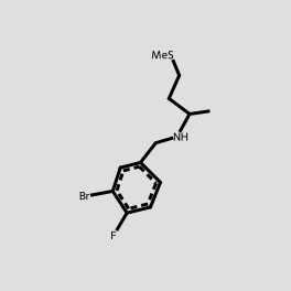 CSCCC(C)NCc1ccc(F)c(Br)c1